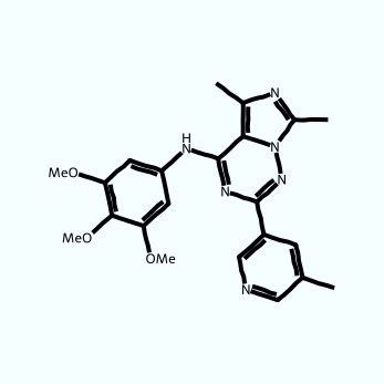 COc1cc(Nc2nc(-c3cncc(C)c3)nn3c(C)nc(C)c23)cc(OC)c1OC